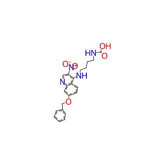 O=C(O)NCCCCNc1c([N+](=O)[O-])cnc2cc(OCc3ccccc3)ccc12